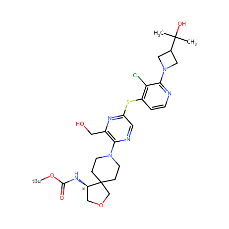 CC(C)(C)OC(=O)N[C@@H]1COCC12CCN(c1ncc(Sc3ccnc(N4CC(C(C)(C)O)C4)c3Cl)nc1CO)CC2